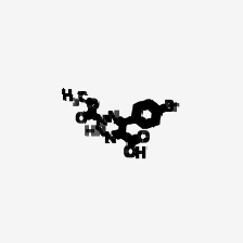 COC(=O)N1N=C(c2ccc(Br)cc2)C(C(=O)O)=NN1